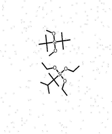 CCO[Si](OCC)(OCC)C(C)(C)C(C)C.CO[Si](OC)(C(C)(C)C)C(C)(C)C